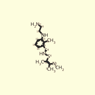 C=N/C(C)=C(/C)SNSc1cccc(NCCN)c1C